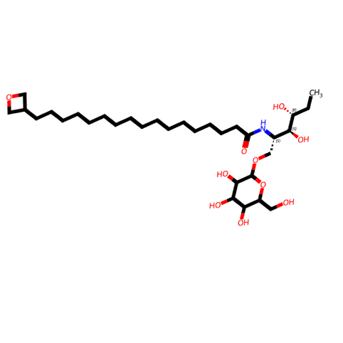 CC[C@@H](O)[C@@H](O)[C@H](COC1OC(CO)C(O)C(O)C1O)NC(=O)CCCCCCCCCCCCCCCCC1COC1